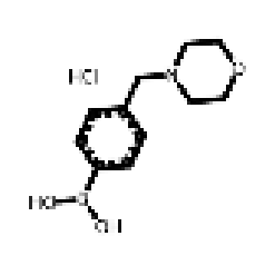 Cl.OB(O)c1ccc(CN2CCOCC2)cc1